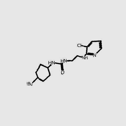 CC(C)(C)C1CCC(NC(=O)NCCNc2ncccc2Cl)CC1